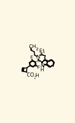 C=CCCN1[C@@H](CC)Cc2c([nH]c3ccccc23)[C@@H]1c1c(F)cc(C2C#CC2C(=O)O)cc1F